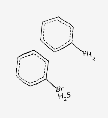 Brc1ccccc1.Pc1ccccc1.S